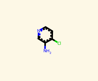 Nc1[c]nccc1Cl